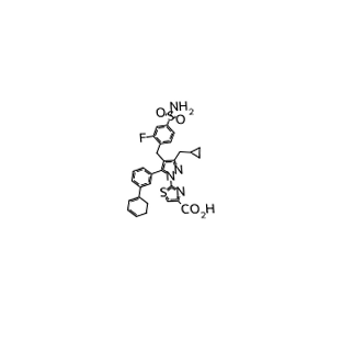 NS(=O)(=O)c1ccc(Cc2c(CC3CC3)nn(-c3nc(C(=O)O)cs3)c2-c2cccc(C3=CC=CCC3)c2)c(F)c1